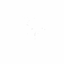 CCN(C)C=Nc1cc(OC)c(C(O)(C2CCOCC2)C(F)(F)F)cc1C